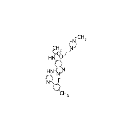 C=CC(=O)Nc1cc2c(Nc3ccnc(-c4ccc(C)cc4F)c3)ncnc2cc1OCCCN1CCN(CC)CC1